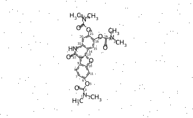 CN(C)C(=O)Oc1ccc2c(c1)oc1c3cc(OC(=O)N(C)C)c(OC(=O)N(C)C)cc3[nH]c(=O)c21